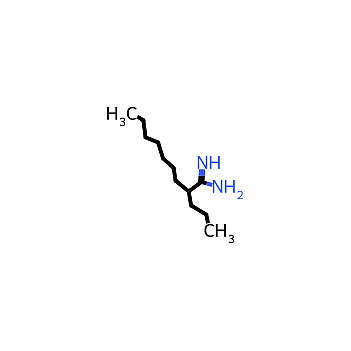 CCCCCCCC(CCC)C(=N)N